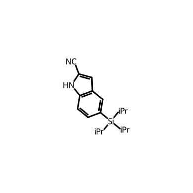 CC(C)[Si](c1ccc2[nH]c(C#N)cc2c1)(C(C)C)C(C)C